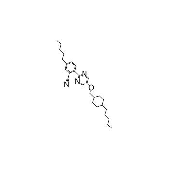 CCCCCc1ccc(-c2ncc(OCC3CCC(CCCCC)CC3)cn2)c(C#N)c1